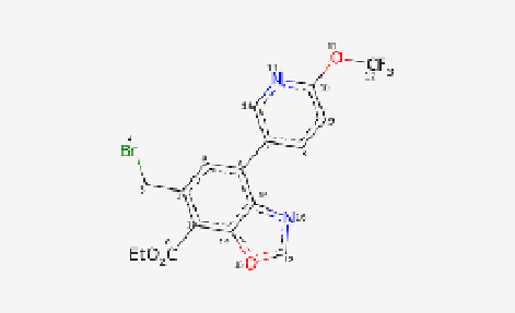 CCOC(=O)c1c(CBr)cc(-c2ccc(OC(F)(F)F)nc2)c2ncoc12